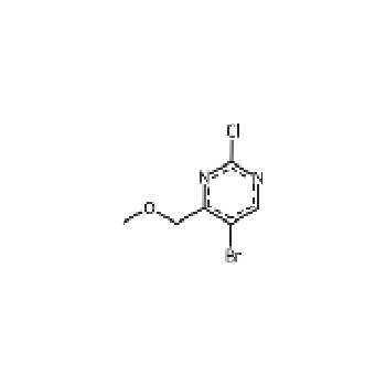 COCc1nc(Cl)ncc1Br